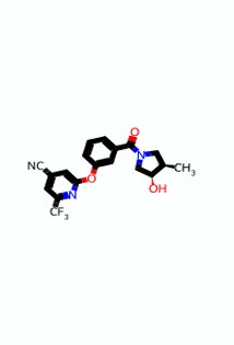 C[C@@H]1CN(C(=O)c2cccc(Oc3cc(C#N)cc(C(F)(F)F)n3)c2)C[C@H]1O